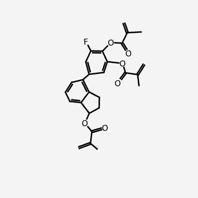 C=C(C)C(=O)Oc1cc(-c2cccc3c2CCC3OC(=O)C(=C)C)cc(F)c1OC(=O)C(=C)C